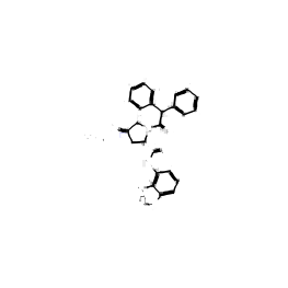 CO/N=C1\C[C@@H](C(=O)Nc2cccc3snnc23)N(C(=O)C(c2ccccc2)c2ccccc2)C1